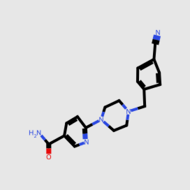 N#Cc1ccc(CN2CCN(c3ccc(C(N)=O)cn3)CC2)cc1